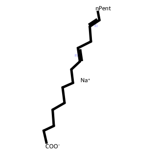 CCCCC/C=C/C/C=C/CCCCCCCC(=O)[O-].[Na+]